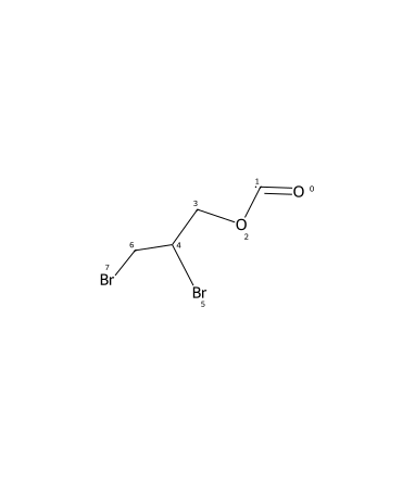 O=[C]OCC(Br)CBr